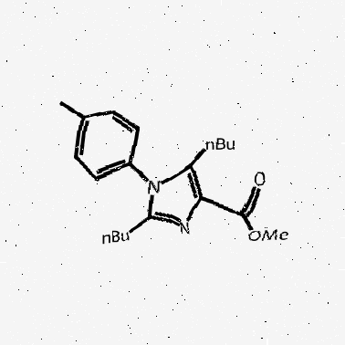 CCCCc1nc(C(=O)OC)c(CCCC)n1-c1ccc(C)cc1